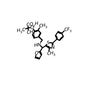 Cc1cc(CNC(c2ccco2)c2sc(-c3ccc(C(F)(F)F)cc3)nc2C)ccc1OC(C)(C)C(=O)O